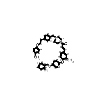 Cc1ccc(OCCc2ccc(CN3CCN(C(=O)C=Cc4ccc(Oc5ccc(OCc6ccccc6Cl)cn5)c(C)c4)CC3)cc2)cc1